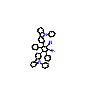 N#Cc1c(C#N)c(-c2ccccc2)c(-c2ccc3c4ccccc4n(-c4ccccc4)c3c2)c(-c2ccccc2)c1-c1ccc2c3ccccc3n(-c3ccccc3)c2c1